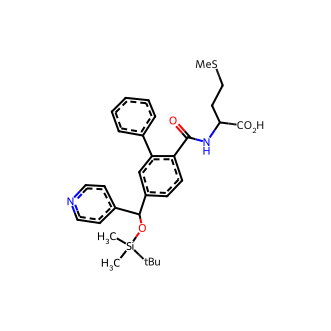 CSCCC(NC(=O)c1ccc(C(O[Si](C)(C)C(C)(C)C)c2ccncc2)cc1-c1ccccc1)C(=O)O